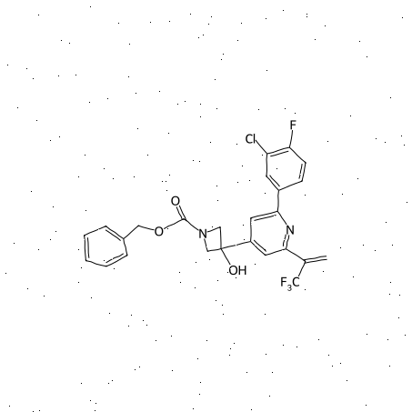 C=C(c1cc(C2(O)CN(C(=O)OCc3ccccc3)C2)cc(-c2ccc(F)c(Cl)c2)n1)C(F)(F)F